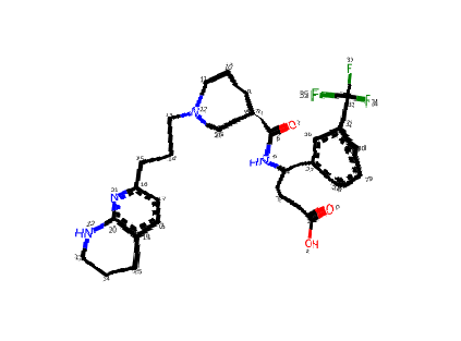 O=C(O)CC(NC(=O)[C@@H]1CCCN(CCCc2ccc3c(n2)NCCC3)C1)c1cccc(C(F)(F)F)c1